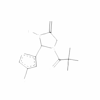 CC(C)(F)C(=O)N1CC(=O)N(O)C1c1cc(Br)cs1